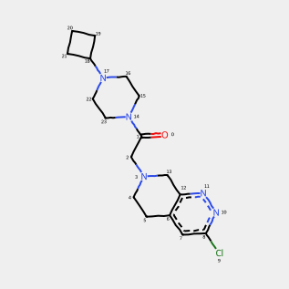 O=C(CN1CCc2cc(Cl)nnc2C1)N1CCN(C2CCC2)CC1